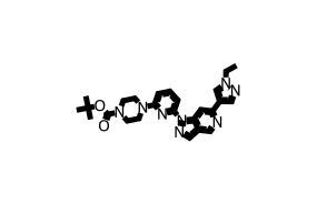 CCn1cc(-c2cc3c(cn2)cnn3-c2cccc(N3CCN(C(=O)OC(C)(C)C)CC3)n2)cn1